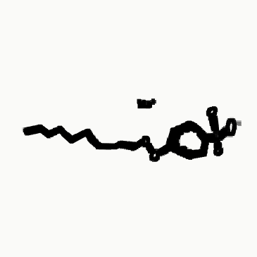 CCCCCCCCCOOc1ccc(S(=O)(=O)[O-])cc1.[Na+]